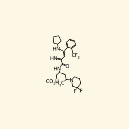 CC(C[C@@H](CC(=O)O)NC(=O)C(=N)/C=C(\NC1CCCC1)c1ccccc1C(F)(F)F)N1CCCC(F)(F)C1